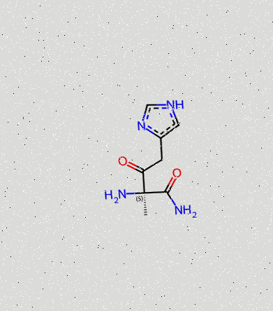 C[C@@](N)(C(N)=O)C(=O)Cc1c[nH]cn1